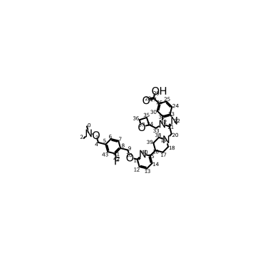 CN(C)OCc1ccc(COc2cccc(C3CCN(Cc4nc5ccc(C(=O)O)cc5n4CC4CCO4)CC3)n2)c(F)c1